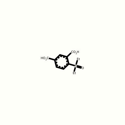 CCP(=O)(CC)c1ccc(C(=O)O)cc1C(=O)O